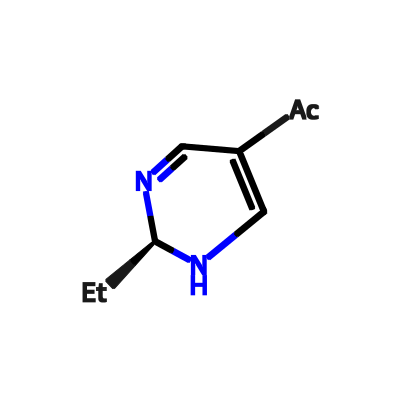 CC[C@H]1N=CC(C(C)=O)=CN1